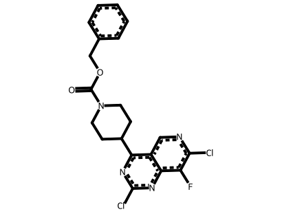 O=C(OCc1ccccc1)N1CCC(c2nc(Cl)nc3c(F)c(Cl)ncc23)CC1